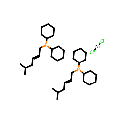 CC(C)CC=CCP(C1CCCCC1)C1CCCCC1.CC(C)CC=CCP(C1CCCCC1)C1CCCCC1.[Cl][Ni][Cl]